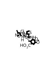 Cc1noc(NS(=O)(=O)c2ccsc2C(=O)Nc2c(C)c(C(=O)O)cc3c2OCO3)c1Cl